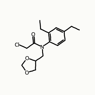 CCc1ccc(N(CC2COCO2)C(=O)CCl)c(CC)c1